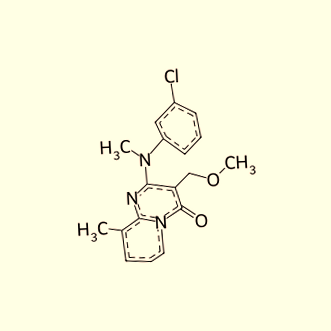 COCc1c(N(C)c2cccc(Cl)c2)nc2c(C)cccn2c1=O